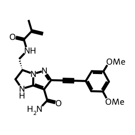 C=C(C)C(=O)NC[C@H]1CNc2c(C(N)=O)c(C#Cc3cc(OC)cc(OC)c3)nn21